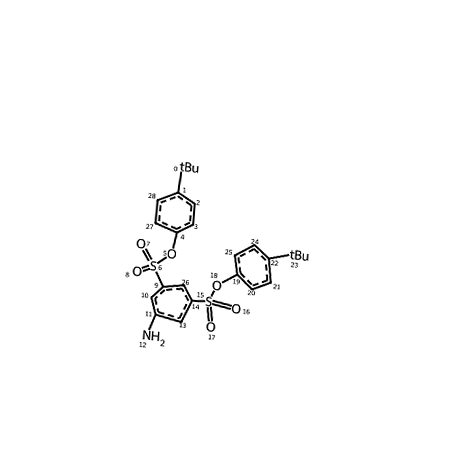 CC(C)(C)c1ccc(OS(=O)(=O)c2cc(N)cc(S(=O)(=O)Oc3ccc(C(C)(C)C)cc3)c2)cc1